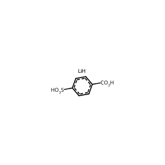 O=C(O)c1ccc(S(=O)(=O)O)cc1.[LiH]